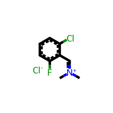 C[N+](C)=Cc1c(F)cccc1Cl.[Cl-]